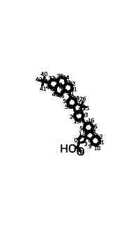 C=CC1(CCC(=O)O)c2ccccc2-c2ccc(-c3ccc4c(c3)C(C)(C)c3cc(-c5ccc6ccc7cc(C(C)(C)C)cc8ccc5c6c78)ccc3-4)cc21